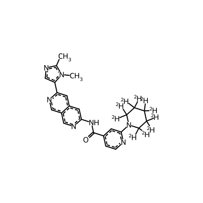 [2H]C1([2H])N(c2cc(C(=O)Nc3cc4cc(-c5cnc(C)n5C)ncc4cn3)ccn2)C([2H])([2H])C([2H])([2H])C([2H])([2H])C1([2H])[2H]